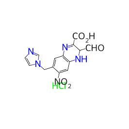 Cl.O=CC1Nc2cc([N+](=O)[O-])c(Cn3ccnc3)cc2N=C1C(=O)O